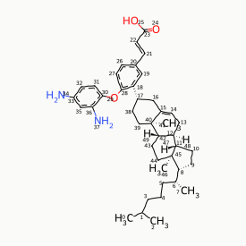 CC(C)CCC[C@@H](C)[C@H]1CC[C@H]2[C@@H]3CC=C4C[C@@H](c5cc(/C=C/C(=O)O)ccc5Oc5ccc(N)cc5N)CC[C@]4(C)[C@H]3CC[C@]12C